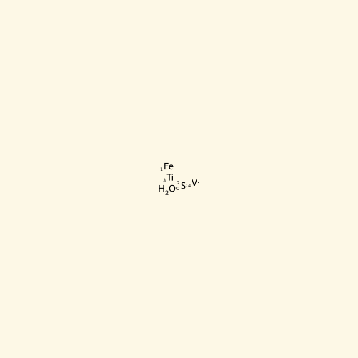 O.[Fe].[S].[Ti].[V]